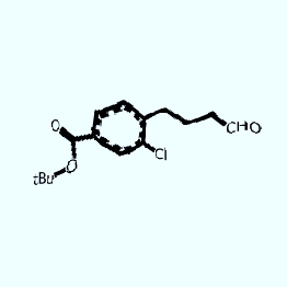 CC(C)(C)OC(=O)c1ccc(CCCC=O)c(Cl)c1